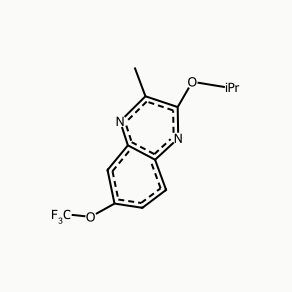 Cc1nc2cc(OC(F)(F)F)ccc2nc1OC(C)C